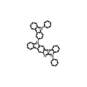 c1ccc(-n2c3ccccc3c3cc(-n4c5ccccc5c5cc6nc7n(-c8ccccc8)c8ccccc8n7c6cc54)ccc32)cc1